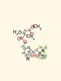 COC(=O)CC(C)(C)C(=O)OCC1C[C@@H]2CC(CC(O)(C(F)(F)F)C(F)(F)F)C1C2